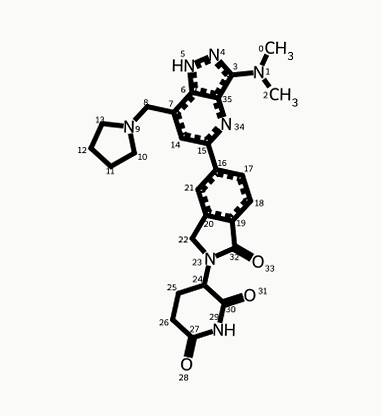 CN(C)c1n[nH]c2c(CN3CCCC3)cc(-c3ccc4c(c3)CN(C3CCC(=O)NC3=O)C4=O)nc12